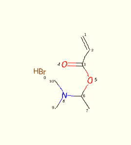 Br.C=CC(=O)OC(C)N(C)C